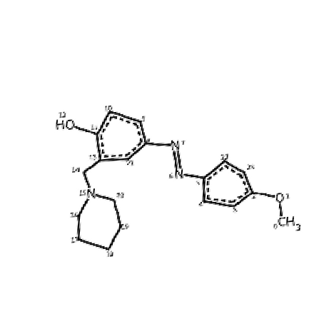 COc1ccc(/N=N/c2ccc(O)c(CN3CCCCC3)c2)cc1